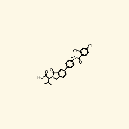 CC(C)C(C(=O)O)N1Cc2ccc(-c3ccc(NC(=O)c4ccc(Cl)cc4Cl)cc3)cc2C1=O